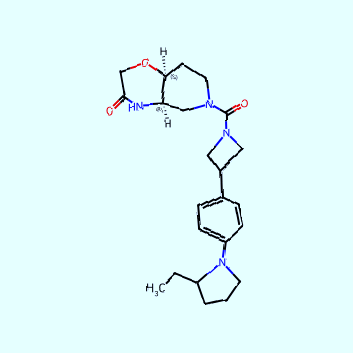 CCC1CCCN1c1ccc(C2CN(C(=O)N3CC[C@@H]4OCC(=O)N[C@@H]4C3)C2)cc1